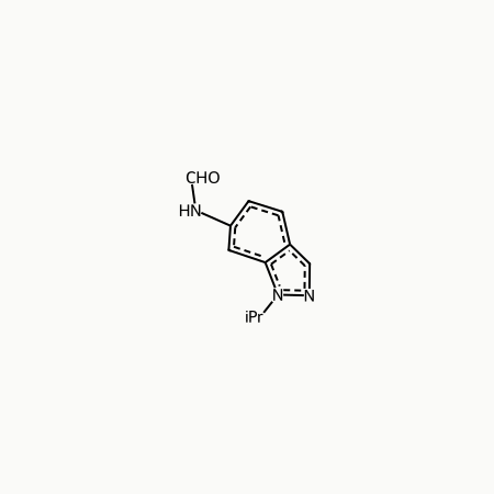 CC(C)n1ncc2ccc(NC=O)cc21